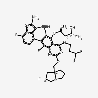 C=C1Oc2c(Cl)c(-c3ccc(F)c4sc(N)c(C#N)c34)c(F)c3nc(OC[C@@]45CCCN4C[C@H](F)C5)nc(c23)N(CCC(F)F)[C@H]1[C@@H](C)O